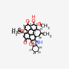 COc1c(O)c2c(=O)cc(OC)c3c4c(OC)cc(=O)c5c(O)c(NC6CCCCC6)c6c(c(c1CC(C)=C6)c23)c54